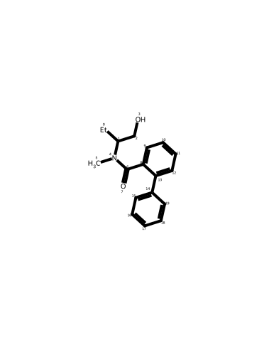 CCC(CO)N(C)C(=O)c1ccccc1-c1ccccc1